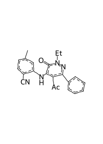 CCn1nc(-c2ccccc2)c(C(C)=O)c(Nc2cc(C)ccc2C#N)c1=O